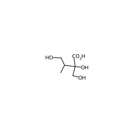 CC(CO)C(O)(CO)C(=O)O